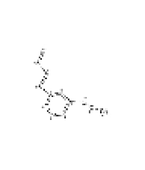 CCOc1cccc(C=CC=O)c1